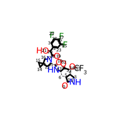 O=C1NCC[C@H]1C[C@H](NC(=O)[C@@H]1CC2(CC2)CN1C(=O)C(O)c1cc(F)c(F)c(F)c1)C(=O)COC(F)(F)F